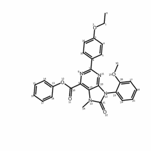 CCOc1ccc(-c2nc(C(=O)Oc3ccccc3)c3c(n2)n(-c2ccccc2OC)c(=O)n3C)cc1